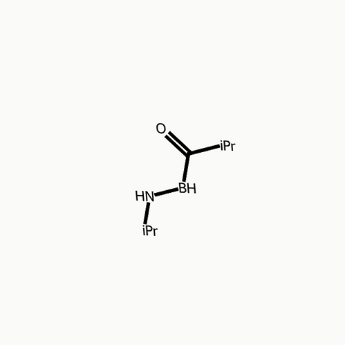 CC(C)NBC(=O)C(C)C